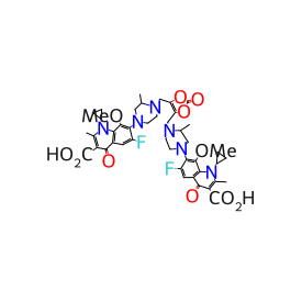 COc1c(N2CCN(Cc3oc(=O)oc3CN3CCN(c4c(F)cc5c(=O)c(C(=O)O)c(C)n(C6CC6)c5c4OC)CC3C)C(C)C2)c(F)cc2c(=O)c(C(=O)O)c(C)n(C3CC3)c12